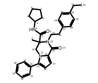 CC1(C(=O)NC2CCCC2)Cn2c(ccc2-c2ccccc2)C(=O)N1CCc1ccc(CI)cc1